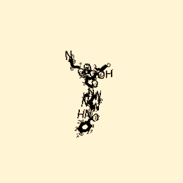 C=CCOP(=O)(OCCC#N)[C@]1(C)CC(n2cnc3c(NC(=O)c4ccccc4)ncnc32)OC1CO